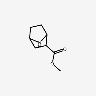 COC(=O)C1CC2CCC1N2